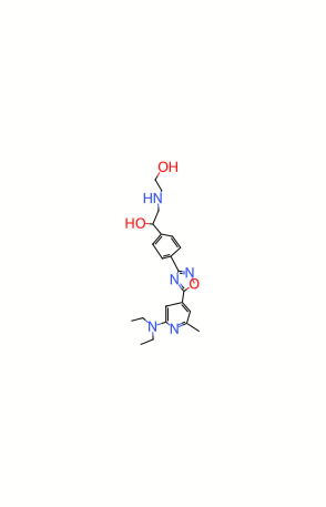 CCN(CC)c1cc(-c2nc(-c3ccc(C(O)CNCCO)cc3)no2)cc(C)n1